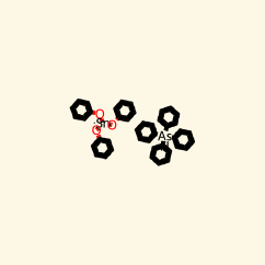 c1ccc([AsH](c2ccccc2)(c2ccccc2)c2ccccc2)cc1.c1ccc([O][Sn]([O]c2ccccc2)[O]c2ccccc2)cc1